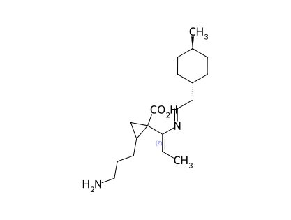 C/C=C(\N=CC[C@H]1CC[C@H](C)CC1)C1(C(=O)O)CC1CCCN